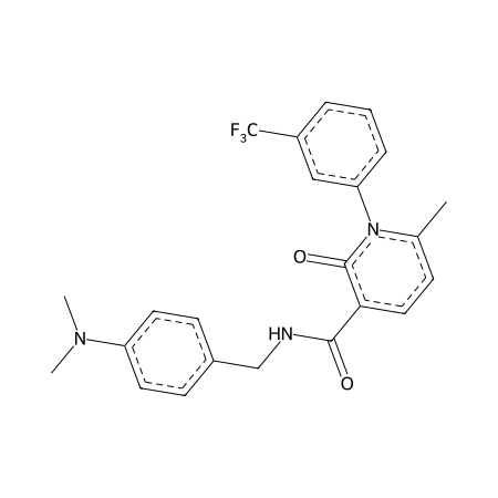 Cc1ccc(C(=O)NCc2ccc(N(C)C)cc2)c(=O)n1-c1cccc(C(F)(F)F)c1